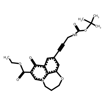 CCOC(=O)c1cn2c3c(cc(C#CCNC(=O)OC(C)(C)C)cc3c1=O)OCCC2